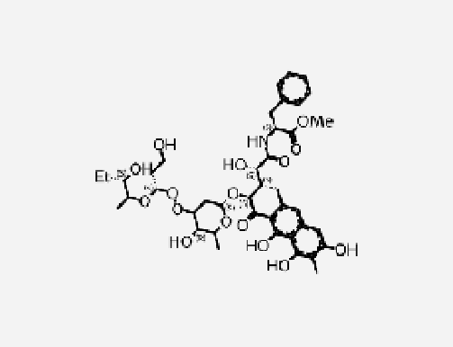 CC[C@H](O)C(C)O[C@H](CCO)OOC1C[C@H](O[C@@H]2C(=O)c3c(cc4cc(O)c(C)c(O)c4c3O)C[C@H]2[C@H](O)C(=O)N[C@@H](Cc2ccccc2)C(=O)OC)OC(C)[C@H]1O